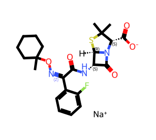 CC1(O/N=C(\C(=O)N[C@H]2C(=O)N3[C@@H]2SC(C)(C)[C@@H]3C(=O)[O-])c2ccccc2F)CCCCC1.[Na+]